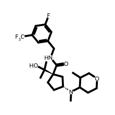 CC1COCCC1N(C)[C@@H]1CC[C@@](C(=O)NCc2cc(F)cc(C(F)(F)F)c2)(C(C)(C)O)C1